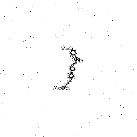 CCn1cc(-c2ccc(OC)cc2)nc1C=Cc1ccc(-c2ccc(OCCCC(=O)OC)cc2)cc1